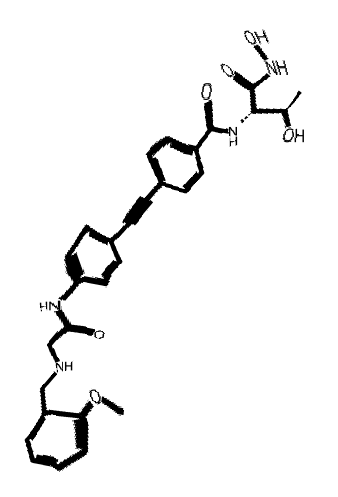 COc1ccccc1CNCC(=O)Nc1ccc(C#Cc2ccc(C(=O)N[C@H](C(=O)NO)[C@@H](C)O)cc2)cc1